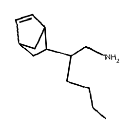 CCCCC(CN)C1CC2C=CC1C2